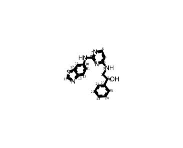 O[C@H](CNc1ccnc(Nc2ccc3ncsc3c2)n1)c1ccccc1